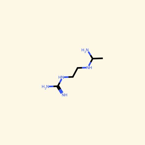 CC(N)NCCNC(=N)N